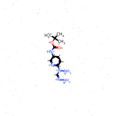 CC(C)(C)OC(=O)Nc1ccc(N(N)/C=N\N)nc1